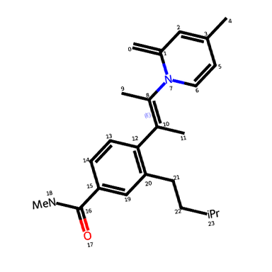 C=C1C=C(C)C=CN1/C(C)=C(\C)c1ccc(C(=O)NC)cc1CCC(C)C